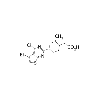 CCc1csc2nc(C3CC[C](CC(=O)O)C(C)C3)nc(Cl)c12